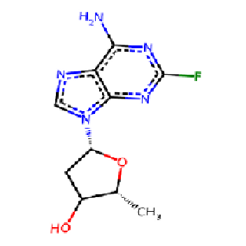 C[C@H]1O[C@@H](n2cnc3c(N)nc(F)nc32)CC1O